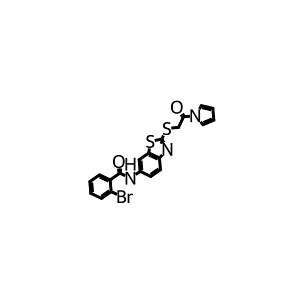 O=C(Nc1ccc2nc(SCC(=O)n3cccc3)sc2c1)c1ccccc1Br